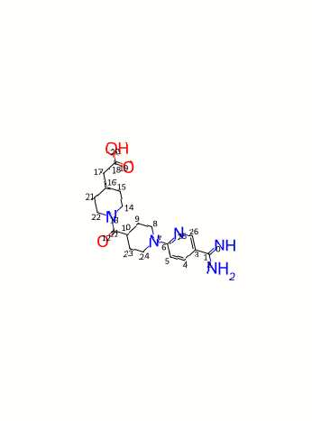 N=C(N)c1ccc(N2CCC(C(=O)N3CCC(CC(=O)O)CC3)CC2)nc1